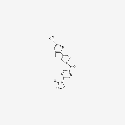 Cc1cc(C2CC2)cnc1N1CCN(C(=O)c2cnc(N3CCOC3=O)cn2)CC1